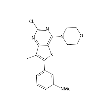 CNc1cccc(-c2sc3c(N4CCOCC4)nc(Cl)nc3c2C)c1